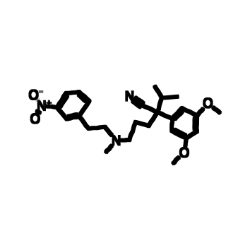 COc1cc(OC)cc(C(C#N)(CCCN(C)CCc2cccc([N+](=O)[O-])c2)C(C)C)c1